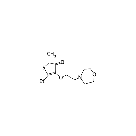 CCC1=C(OCCN2CCOCC2)C(=O)C(C)S1